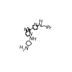 CC(C)CCNc1ccc(-c2cnc3ccc(N[C@H]4CC[C@H](N)CC4)nn23)cn1